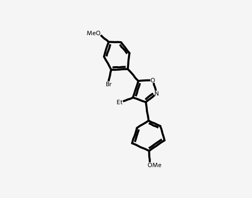 CCc1c(-c2ccc(OC)cc2)noc1-c1ccc(OC)cc1Br